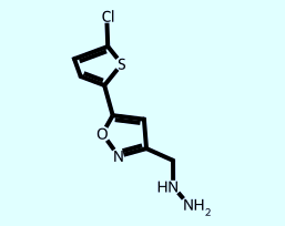 NNCc1cc(-c2ccc(Cl)s2)on1